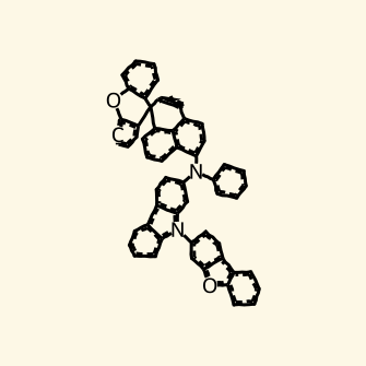 c1ccc(N(c2ccc3c4ccccc4n(-c4ccc5c(c4)oc4ccccc45)c3c2)c2ccc3c4c(cccc24)C2(c4ccccc4Oc4ccccc42)c2ccccc2-3)cc1